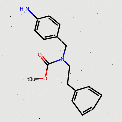 CC(C)(C)OC(=O)N(CCc1ccccc1)Cc1ccc(N)cc1